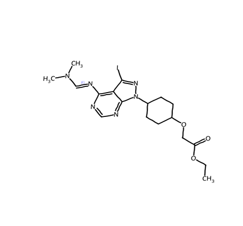 CCOC(=O)COC1CCC(n2nc(I)c3c(/N=C/N(C)C)ncnc32)CC1